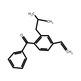 C=Cc1ccc(C(=O)c2ccccc2)c(CC(C)C)c1